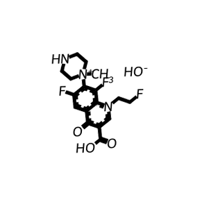 C[N+]1(c2c(F)cc3c(=O)c(C(=O)O)cn(CCF)c3c2F)CCNCC1.[OH-]